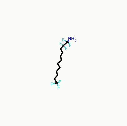 NC(F)(F)C(F)(F)CCCCCCCCCC(F)(F)F